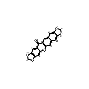 O=c1c2cc3c(cc2oc2cc4cc5c(cc4cc12)OCO5)OCO3